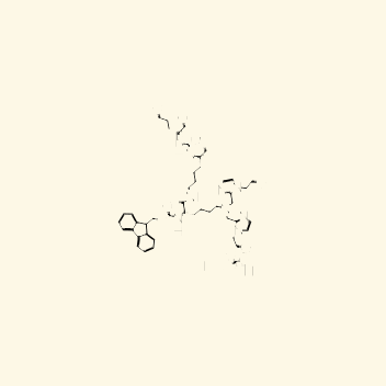 CC(C)(C)OC(=O)Cn1ccnc1CN(CCCC[C@@H](NC(=O)OCC1c2ccccc2-c2ccccc21)C(=O)NCCCC[C@H](C=O)NC(=O)N[C@@H](C=O)CCC=O)Cc1nccn1CC=O